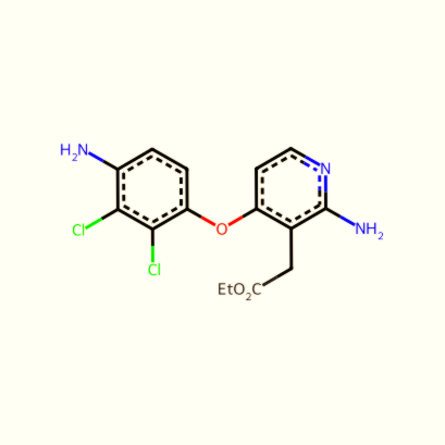 CCOC(=O)Cc1c(Oc2ccc(N)c(Cl)c2Cl)ccnc1N